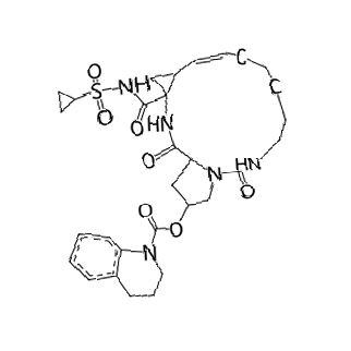 O=C1NC2(C(=O)NS(=O)(=O)C3CC3)CC2C=CCCCCCNC(=O)N2CC(OC(=O)N3CCCc4ccccc43)CC12